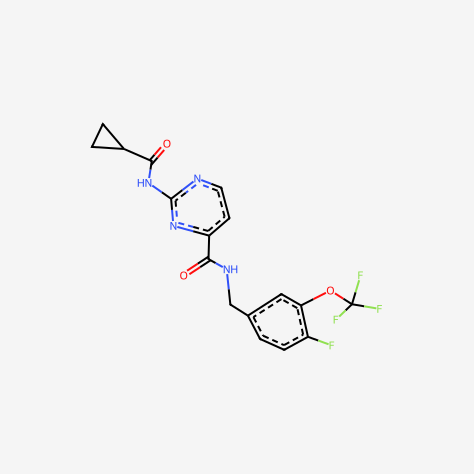 O=C(NCc1ccc(F)c(OC(F)(F)F)c1)c1ccnc(NC(=O)C2CC2)n1